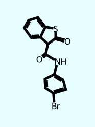 O=C(Nc1ccc(Br)cc1)C1C(=O)Sc2ccccc21